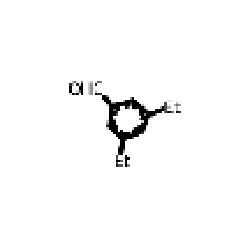 CCc1cc(C=O)cc(CC)c1